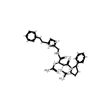 CC(=O)O[C@@H](C(=O)NCc1nc(CCc2ccccc2)cs1)[C@@H](OC(C)=O)C(=O)N1CCCC1c1ccccc1